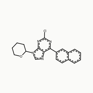 Clc1nc(-c2ccc3ccccc3c2)c2ncn(C3CCCCO3)c2n1